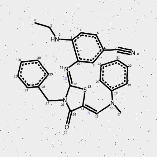 CCNc1ccc(C#N)cc1/N=C1\S/C(=C\N(C)c2ccccc2)C(=O)N1Cc1ccccc1